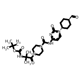 CC(C)(C)OC(=O)NC(C)(C)C(=O)N1CCN(C(=O)Nc2ccn([C@H]3CC[C@H](C=O)CC3)c(=O)n2)CC1